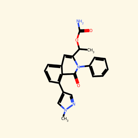 CC(OC(N)=O)c1cc2cccc(-c3cnn(C)c3)c2c(=O)n1-c1ccccc1